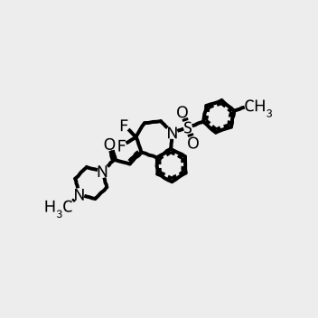 Cc1ccc(S(=O)(=O)N2CCC(F)(F)C(=CC(=O)N3CCN(C)CC3)c3ccccc32)cc1